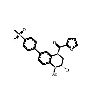 CC[C@H]1CN(C(=O)c2ccco2)c2cc(-c3ccc(S(C)(=O)=O)cc3)ccc2N1C(C)=O